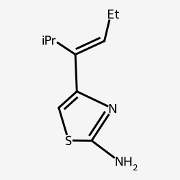 CC/C=C(/c1csc(N)n1)C(C)C